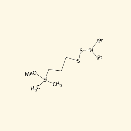 CO[Si](C)(C)CCCSSN(C(C)C)C(C)C